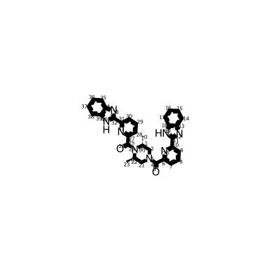 C[C@@H]1CN(C(=O)c2cccc(-c3nc4ccccc4[nH]3)n2)C[C@@H](C)N1C(=O)c1cccc(-c2nc3ccccc3[nH]2)n1